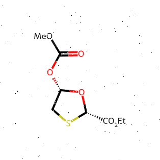 CCOC(=O)[C@H]1O[C@@H](OC(=O)OC)CS1